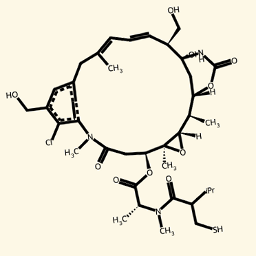 C/C1=C\C=C\[C@@H](CO)[C@@]2(O)C[C@H](OC(=O)N2)[C@@H](C)[C@@H]2O[C@@]2(C)[C@@H](OC(=O)[C@@H](C)N(C)C(=O)C(CS)C(C)C)CC(=O)N(C)c2cc(cc(CO)c2Cl)C1